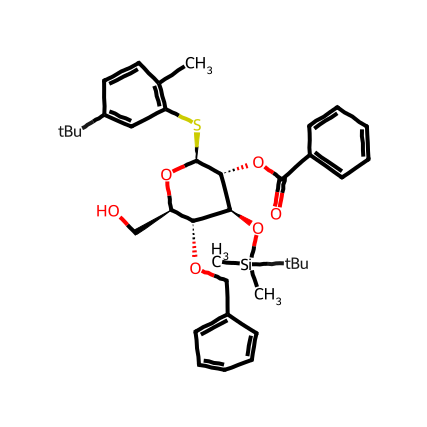 Cc1ccc(C(C)(C)C)cc1S[C@@H]1O[C@H](CO)[C@@H](OCc2ccccc2)[C@H](O[Si](C)(C)C(C)(C)C)[C@H]1OC(=O)c1ccccc1